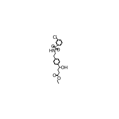 CCOC(=O)CCC(O)c1ccc(CCNS(=O)(=O)c2cccc(Cl)c2)cc1